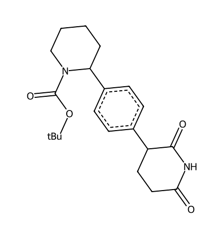 CC(C)(C)OC(=O)N1CCCCC1c1ccc(C2CCC(=O)NC2=O)cc1